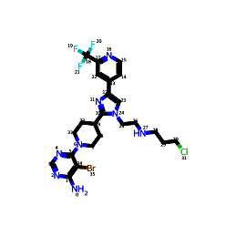 Nc1ncnc(N2CCC(c3nc(-c4ccnc(C(F)(F)F)c4)cn3CCNCCCCl)CC2)c1Br